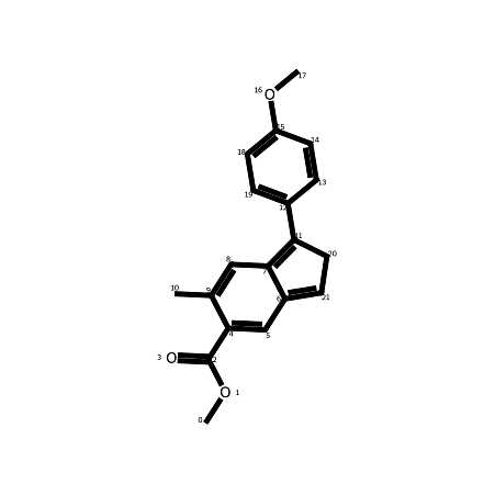 COC(=O)c1cc2c(cc1C)=C(c1ccc(OC)cc1)CC=2